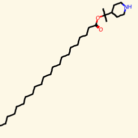 CCCCCCCCCCCCCCCCCCCCCC(=O)OC(C)(C)C1CCNCC1